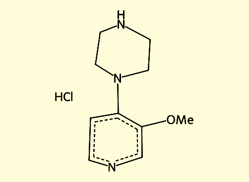 COc1cnccc1N1CCNCC1.Cl